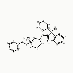 C[N+]1(CCc2cnccn2)CCCC(OC(=O)[C@](O)(c2ccccc2)C2CCCCC2)C1